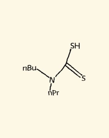 CCCCN(CCC)C(=S)S